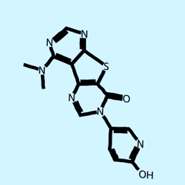 CN(C)c1ncnc2sc3c(=O)n(-c4ccc(O)nc4)cnc3c12